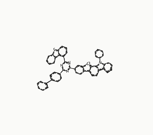 c1ccc(-c2ccc(-c3nc(-c4ccc5c(c4)oc4c5ccc5c6ccccc6n(-c6ccccc6)c54)nc(-c4cccc5sc6ccccc6c45)n3)cc2)cc1